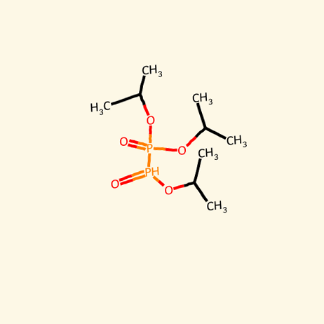 CC(C)O[PH](=O)P(=O)(OC(C)C)OC(C)C